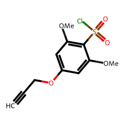 C#CCOc1cc(OC)c(S(=O)(=O)Cl)c(OC)c1